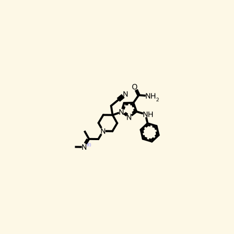 C/N=C(\C)CN1CCC(CC#N)(n2cc(C(N)=O)c(Nc3ccccc3)n2)CC1